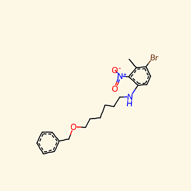 Cc1c(Br)ccc(NCCCCCCOCc2ccccc2)c1[N+](=O)[O-]